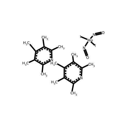 Cc1nc(C)c(C)c(C)c1C.Cc1nc(C)c(C)c(C)c1C.O=[N][Mo]([I])([I])[N]=O